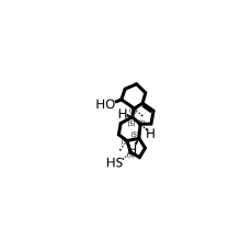 C[C@]12CC[C@H]3[C@@H](CC=C4CCCC(O)[C@@]43C)[C@@H]1CC[C@@H]2S